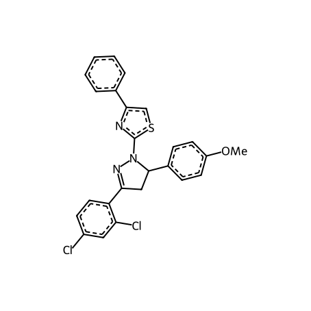 COc1ccc(C2CC(c3ccc(Cl)cc3Cl)=NN2c2nc(-c3ccccc3)cs2)cc1